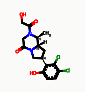 C[C@H]1[C@@H]2C[C@H](c3c(O)ccc(Cl)c3Cl)CN2C(=O)CN1C(=O)CO